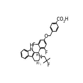 C[C@@H]1Cc2c([nH]c3ccccc23)[C@@H](c2c(F)cc(OCc3ccc(C(=O)O)cc3)cc2F)N1CC(C)(C)F